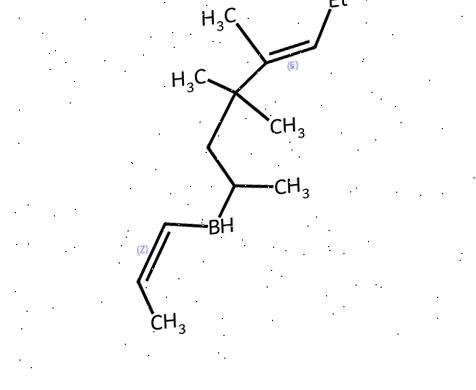 C/C=C\BC(C)CC(C)(C)/C(C)=C/CC